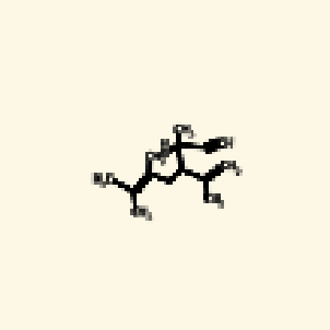 C#CC(C)(O)C(CC(C)=C(C)C)C(=C)C